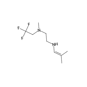 CC(C)=CNCCN(C)CC(F)(F)F